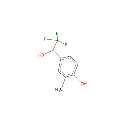 Cc1cc(C(O)C(F)(F)F)ccc1O